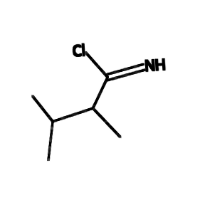 CC(C)C(C)C(=N)Cl